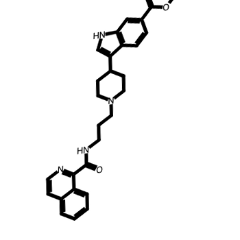 COC(=O)c1ccc2c(C3CCN(CCCNC(=O)c4nccc5ccccc45)CC3)c[nH]c2c1